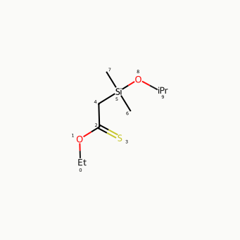 CCOC(=S)C[Si](C)(C)OC(C)C